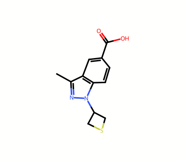 Cc1nn(C2CSC2)c2ccc(C(=O)O)cc12